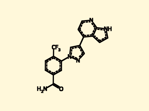 NC(=O)c1ccc(C(F)(F)F)c(-n2cc(-c3ccnc4[nH]ccc34)cn2)c1